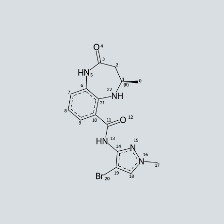 C[C@@H]1CC(=O)Nc2cccc(C(=O)Nc3nn(C)cc3Br)c2N1